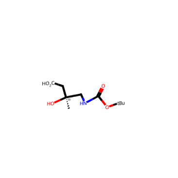 CC(C)(C)OC(=O)NC[C@@](C)(O)CC(=O)O